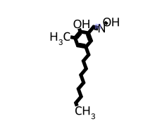 CCCCCCCCCc1cc(C)c(O)c(/C=N/O)c1